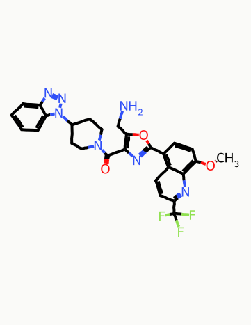 COc1ccc(-c2nc(C(=O)N3CCC(n4nnc5ccccc54)CC3)c(CN)o2)c2ccc(C(F)(F)F)nc12